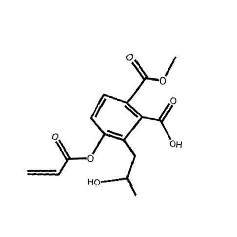 C=CC(=O)Oc1ccc(C(=O)OC)c(C(=O)O)c1CC(C)O